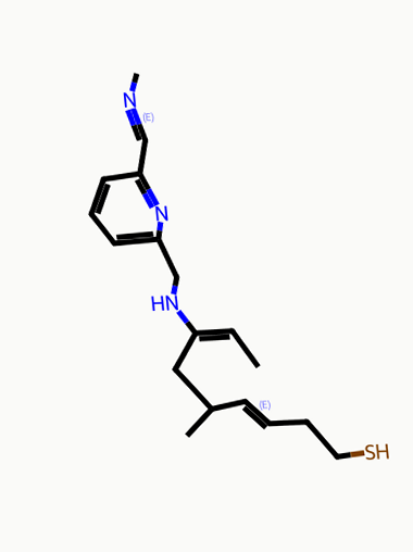 CC=C(CC(C)/C=C/CCS)NCc1cccc(/C=N/C)n1